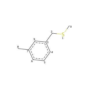 CSCc1cccc(C)c1